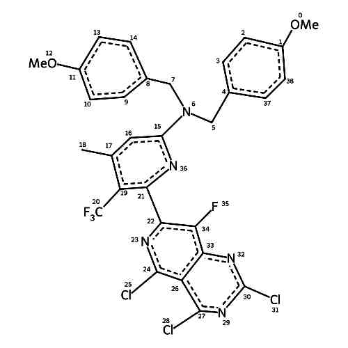 COc1ccc(CN(Cc2ccc(OC)cc2)c2cc(C)c(C(F)(F)F)c(-c3nc(Cl)c4c(Cl)nc(Cl)nc4c3F)n2)cc1